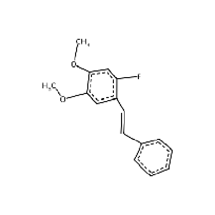 COc1cc(F)c(C=Cc2ccccc2)cc1OC